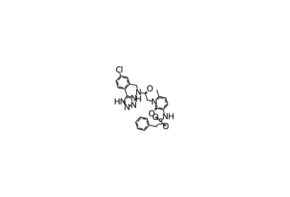 Cc1ccc(NS(=O)(=O)Cc2ccccc2)c(=O)n1CC(=O)NCc1cc(Cl)ccc1-c1nnn[nH]1